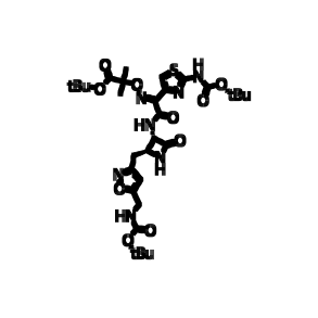 CC(C)(C)OC(=O)NCc1cc(C[C@@H]2NC(=O)[C@H]2NC(=O)C(=NOC(C)(C)C(=O)OC(C)(C)C)c2csc(NC(=O)OC(C)(C)C)n2)no1